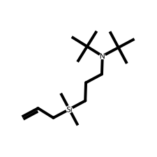 C=CC[Si](C)(C)CCCN(C(C)(C)C)C(C)(C)C